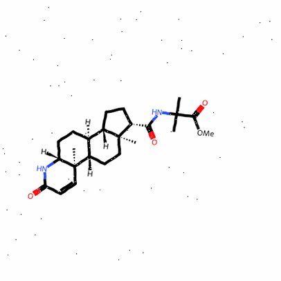 COC(=O)C(C)(C)NC(=O)[C@H]1CC[C@H]2[C@@H]3CC[C@H]4NC(=O)C=C[C@]4(C)[C@H]3CC[C@]12C